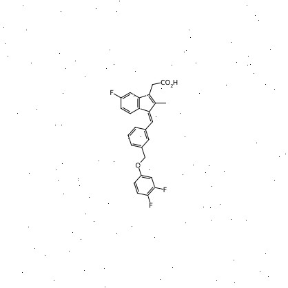 CC1=C(CC(=O)O)c2cc(F)ccc2/C1=C\c1cccc(COc2ccc(F)c(F)c2)c1